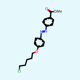 COC(=O)c1ccc(/N=N/c2ccc(OCCCCCCl)cc2)cc1